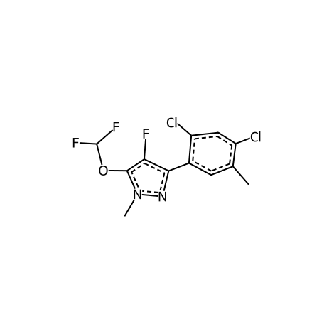 Cc1cc(-c2nn(C)c(OC(F)F)c2F)c(Cl)cc1Cl